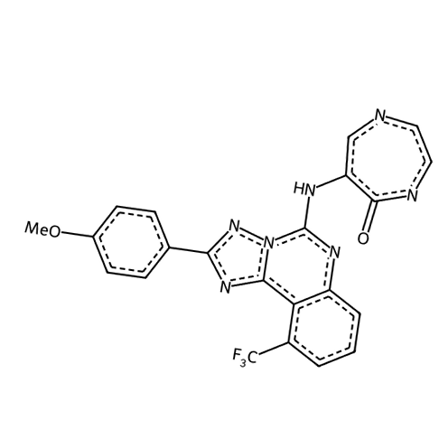 COc1ccc(-c2nc3c4c(C(F)(F)F)cccc4nc(Nc4cnccnc4=O)n3n2)cc1